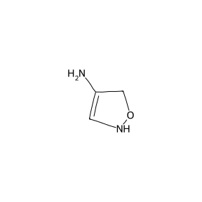 NC1=CNOC1